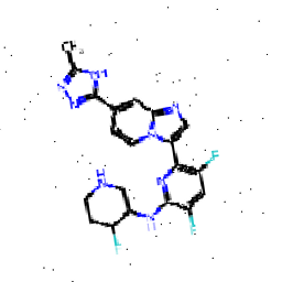 Cc1nnc(-c2ccn3c(-c4nc(NC5CNCCC5F)c(F)cc4F)cnc3c2)[nH]1